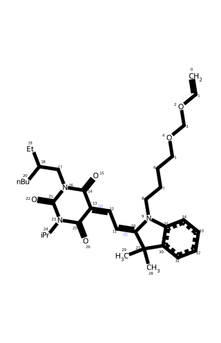 C=COCOCCCCN1/C(=C\C=C2\C(=O)N(CC(CC)CCCC)C(=O)N(C(C)C)C2=O)C(C)(C)c2ccccc21